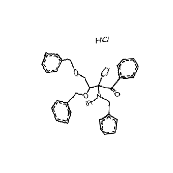 CC(C)N(Cc1ccccc1)C(Cl)(C(=O)c1ccccc1)C(COCc1ccccc1)OCc1ccccc1.Cl